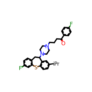 CC(C)c1ccc2c(c1)C(N1CCN(CCCC(=O)c3ccc(F)cc3)CC1)Cc1ccc(F)cc1S2